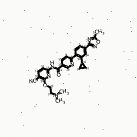 Cc1nc(-c2ccc(-c3ccc(C(=O)Nc4ccc(C#N)c(OCCN(C)C)n4)cn3)c(C3CC3)c2)no1